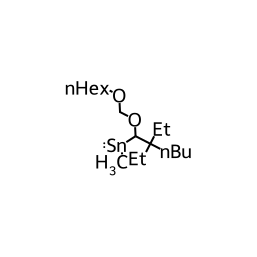 CCCCCCOCO[CH]([Sn][CH3])C(CC)(CC)CCCC